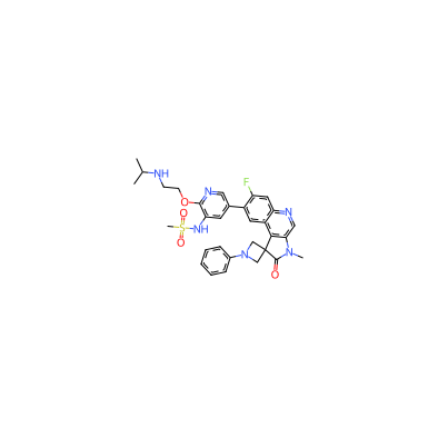 CC(C)NCCOc1ncc(-c2cc3c4c(cnc3cc2F)N(C)C(=O)C42CN(c3ccccc3)C2)cc1NS(C)(=O)=O